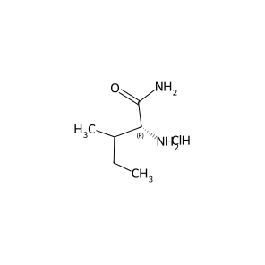 CCC(C)[C@@H](N)C(N)=O.Cl